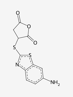 Nc1ccc2nc(SC3CC(=O)OC3=O)sc2c1